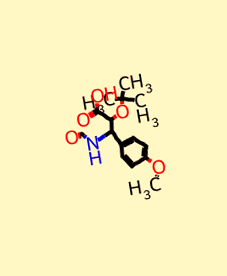 COc1ccc(C(NC=O)C(OC(C)(C)C)C(=O)O)cc1